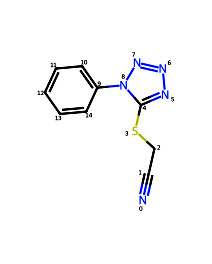 N#CCSc1nnnn1-c1ccccc1